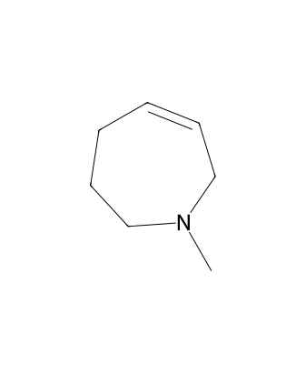 CN1CC=CCCC1